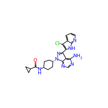 Nc1ncnc2c1c(-c1[nH]c3ncccc3c1Cl)nn2[C@H]1CC[C@H](NC(=O)C2CC2)CC1